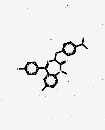 CC(C)c1ccc(CC2N=C(c3ccc(F)cc3)c3cc(Cl)ccc3N(C)C2=O)cc1